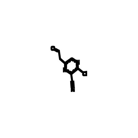 N#Cc1nc(CC=O)cnc1Cl